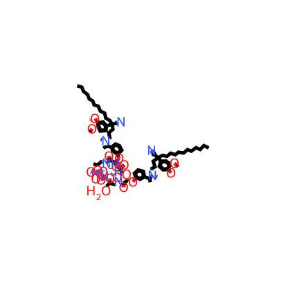 CCCCCCCCCCCCC(C#N)(CCCN(C)C(C)c1cccc(OC(OC(=O)C(=O)OC(Oc2cccc(C(C)N(C)CCCC(C#N)(CCCCCCCCCCCC)c3ccc(OC)c(OC)c3)c2)C(=O)NCC(C)O[N+](=O)[O-])C(=O)NCC(C)O[N+](=O)[O-])c1)c1ccc(OC)c(OC)c1.O